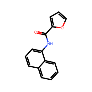 O=C(Nc1cccc2ccccc12)c1ccco1